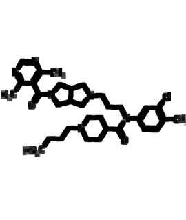 Cc1ccc(N(CCCN2CC3CN(C(=O)c4c(C)ncnc4C)CC3C2)C(=O)C2CCN(CCCC(=O)O)CC2)cc1Cl